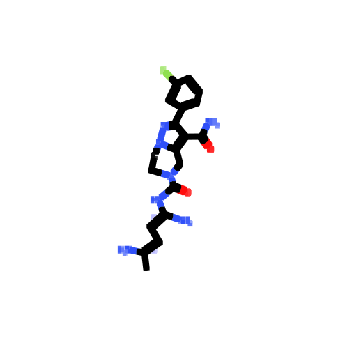 C/C(N)=C/C=C(\N)NC(=O)N1CCn2nc(-c3cccc(F)c3)c(C(N)=O)c2C1